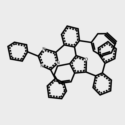 C1#CCC(c2cccc(-c3nc(-c4ccccc4)nc(-c4ccccc4)n3)c2-c2oc(-c3ccccc3-c3ccccc3)c3c2CCC=C3)=CC=C1